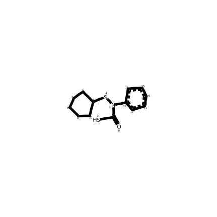 O=C(S)N(SC1CCCCC1)c1ccccc1